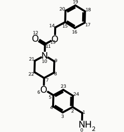 NCc1ccc(OC2CCN(C(=O)OCc3ccccc3)CC2)cc1